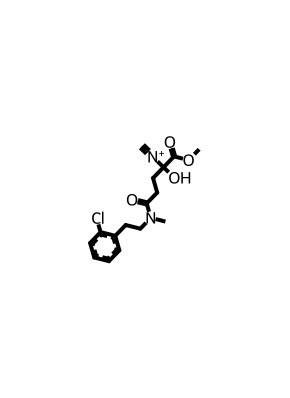 C#[N+]C(O)(CCC(=O)N(C)CCc1ccccc1Cl)C(=O)OC